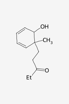 CCC(=O)CCC1(C)C=CC=CC1O